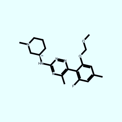 COCOc1cc(C)cc(F)c1-c1nnc(N[C@@H]2CCCN(C)C2)nc1C